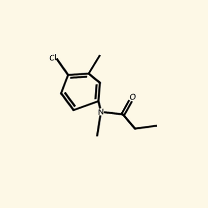 CCC(=O)N(C)c1ccc(Cl)c(C)c1